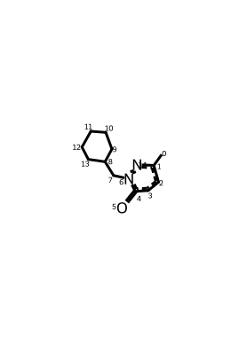 Cc1ccc(=O)n(CC2CCCCC2)n1